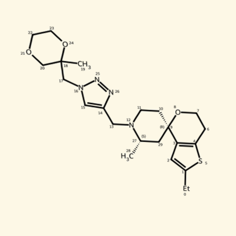 CCc1cc2c(s1)CCO[C@@]21CCN(Cc2cn(CC3(C)COCCO3)nn2)[C@@H](C)C1